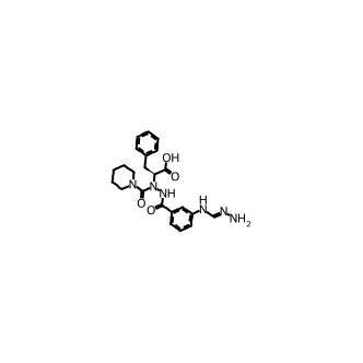 NN=CNc1cccc(C(=O)NN(C(=O)N2CCCCC2)[C@@H](Cc2ccccc2)C(=O)O)c1